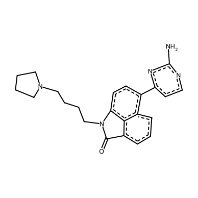 Nc1nccc(-c2ccc3c4c(cccc24)C(=O)N3CCCCN2CCCC2)n1